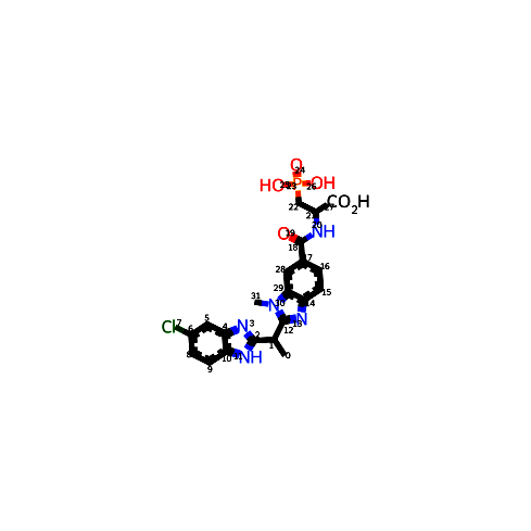 CC(c1nc2cc(Cl)ccc2[nH]1)c1nc2ccc(C(=O)NC(CP(=O)(O)O)C(=O)O)cc2n1C